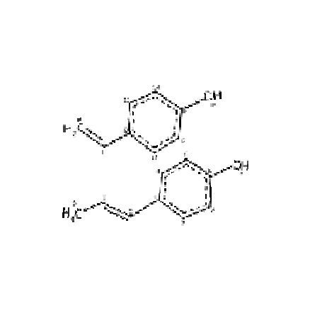 C/C=C/c1ccc(O)cc1.C=Cc1ccc(O)cc1